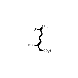 C=C(C)CCC=C(CC(=O)O)C(=O)O